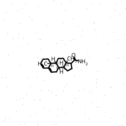 C[C@]12CCC=CC1=CC[C@@H]1[C@H]2CC[C@]2(C)C(C(N)=O)CC[C@@H]12